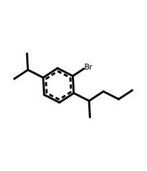 CCCC(C)c1ccc(C(C)C)cc1Br